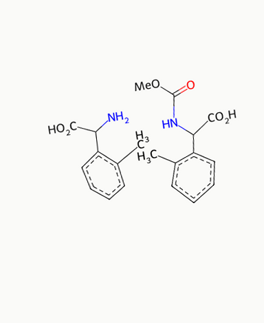 COC(=O)NC(C(=O)O)c1ccccc1C.Cc1ccccc1C(N)C(=O)O